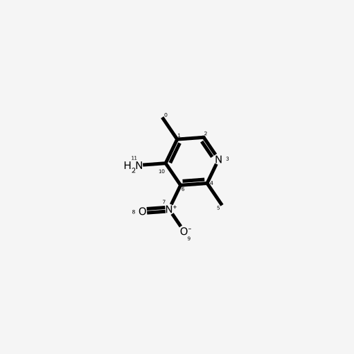 Cc1cnc(C)c([N+](=O)[O-])c1N